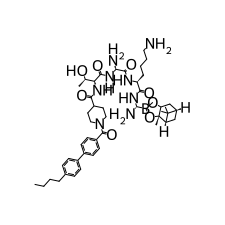 CCCCc1ccc(-c2ccc(C(=O)N3CCC(C(=O)N[C@H](C(=O)N[C@@H](N)C(=O)N[C@@H](CCCCN)C(=O)N[C@@H](N)B4OC5C[C@@H]6C[C@@H](C6(C)C)[C@]5(C)O4)[C@@H](C)O)CC3)cc2)cc1